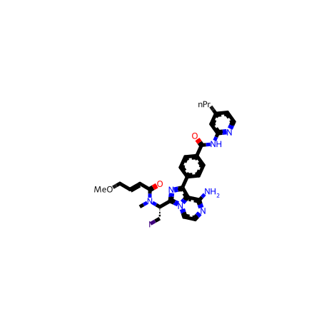 CCCc1ccnc(NC(=O)c2ccc(-c3nc([C@H](CI)N(C)C(=O)/C=C/COC)n4ccnc(N)c34)cc2)c1